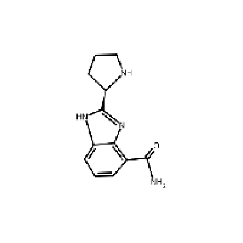 NC(=O)c1cccc2[nH]c([C@H]3CCCN3)nc12